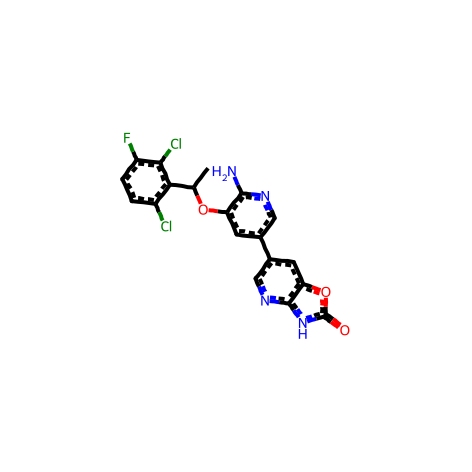 CC(Oc1cc(-c2cnc3[nH]c(=O)oc3c2)cnc1N)c1c(Cl)ccc(F)c1Cl